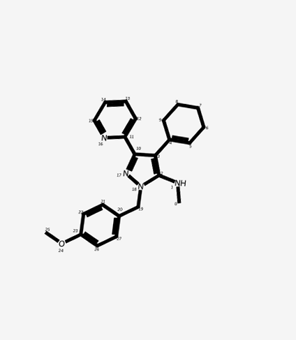 CNc1c(C2=CCCCC2)c(-c2ccccn2)nn1Cc1ccc(OC)cc1